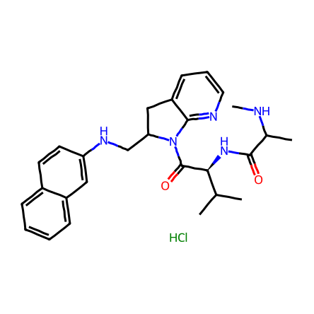 CNC(C)C(=O)N[C@H](C(=O)N1c2ncccc2CC1CNc1ccc2ccccc2c1)C(C)C.Cl